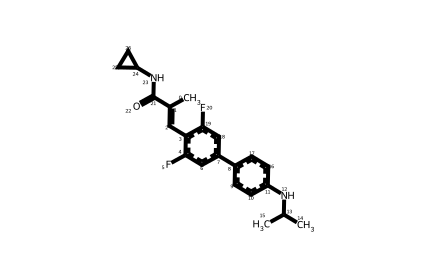 C/C(=C\c1c(F)cc(-c2ccc(NC(C)C)cc2)cc1F)C(=O)NC1CC1